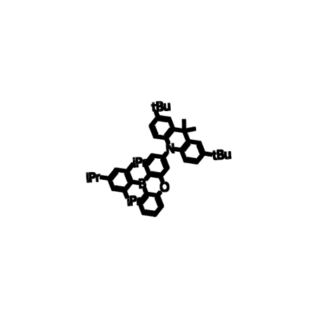 CC(C)c1cc(C(C)C)c(B2c3ccccc3Oc3cc(N4c5ccc(C(C)(C)C)cc5C(C)(C)c5cc(C(C)(C)C)ccc54)ccc32)c(C(C)C)c1